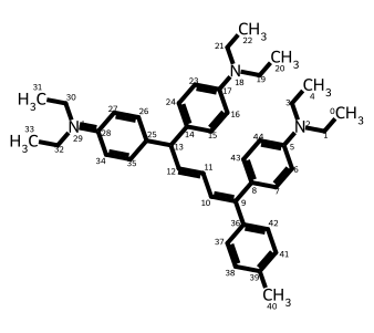 CCN(CC)c1ccc(/C(=C\C=C\C(c2ccc(N(CC)CC)cc2)C2C=CC(=[N+](CC)CC)C=C2)c2ccc(C)cc2)cc1